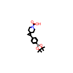 CC1(C)OB(c2ccc(C3CC34CCN(C(=O)O)CC4)cc2)OC1(C)C